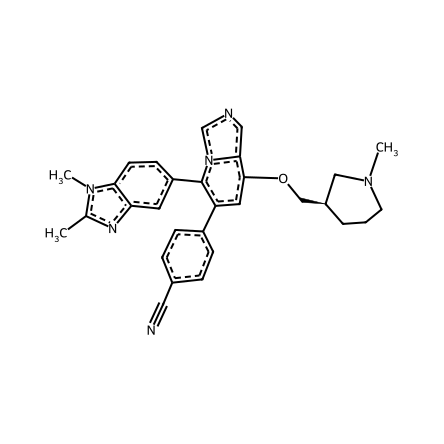 Cc1nc2cc(-c3c(-c4ccc(C#N)cc4)cc(OC[C@@H]4CCCN(C)C4)c4cncn34)ccc2n1C